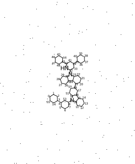 C1CCC(C2CCCC(N3C4CCCCC4C4CC(C5CCCC6C5C5CCCCC5N6C5CC(C6CCCCC6)CC(C6CCCCC6)N5)CCC43)C2)CC1